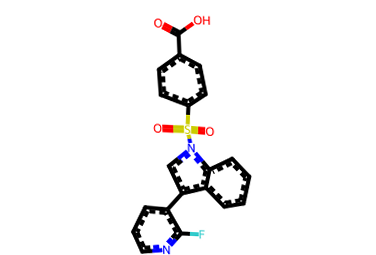 O=C(O)c1ccc(S(=O)(=O)n2cc(-c3cccnc3F)c3ccccc32)cc1